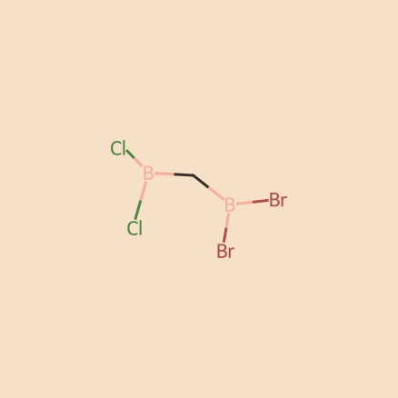 ClB(Cl)CB(Br)Br